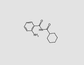 Nc1ccc[c]c1C(=O)NC(=O)C1CCCCC1